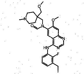 CCc1cccc(Nc2ncnc3cc(OC)c(N(C=O)CC4(COC)CCN(C)CC4)cc23)c1F